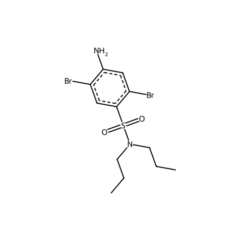 CCCN(CCC)S(=O)(=O)c1cc(Br)c(N)cc1Br